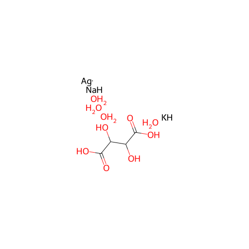 O.O.O.O.O=C(O)C(O)C(O)C(=O)O.[Ag].[KH].[NaH]